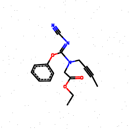 CC#CCN(CC(=O)OCC)/C(=N/C#N)Oc1ccccc1